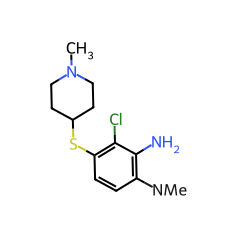 CNc1ccc(SC2CCN(C)CC2)c(Cl)c1N